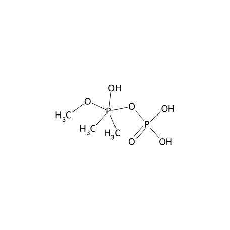 COP(C)(C)(O)OP(=O)(O)O